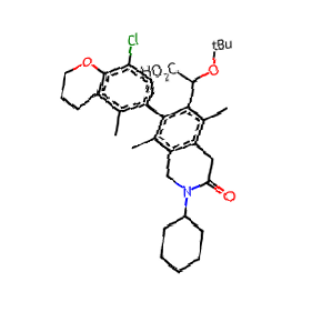 Cc1c(-c2c(C)c3c(c(C)c2C(OC(C)(C)C)C(=O)O)CC(=O)N(C2CCCCC2)C3)cc(Cl)c2c1CCCO2